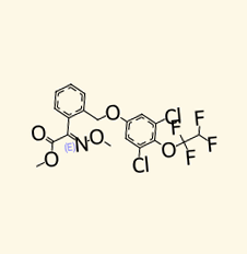 CO/N=C(/C(=O)OC)c1ccccc1COc1cc(Cl)c(OC(F)(F)C(F)F)c(Cl)c1